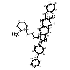 CC1CCCCN1CCCn1c(-c2ccc(-c3ccncc3)cc2)nc2cc3[nH]c(=O)c(Cc4ccccc4)nc3cc21